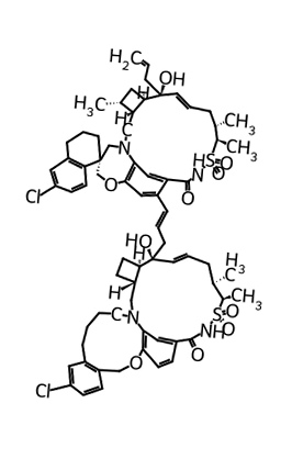 C=CC[C@]1(O)/C=C/C[C@H](C)[C@@H](C)S(=O)(=O)NC(=O)c2cc3c(cc2/C=C/C[C@]2(O)/C=C/C[C@H](C)[C@@H](C)S(=O)(=O)NC(=O)c4ccc5c(c4)N(CCCCc4cc(Cl)ccc4CO5)C[C@@H]4CC[C@H]42)OC[C@]2(CCCc4cc(Cl)ccc42)CN3C[C@@H]2[C@H](C)C[C@H]21